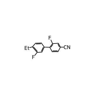 CCc1ccc(-c2ccc(C#N)cc2F)cc1F